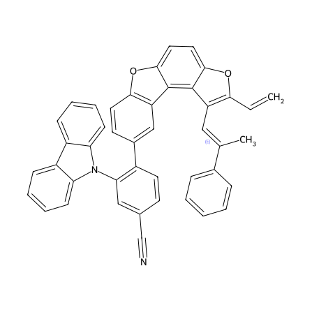 C=Cc1oc2ccc3oc4ccc(-c5ccc(C#N)cc5-n5c6ccccc6c6ccccc65)cc4c3c2c1/C=C(\C)c1ccccc1